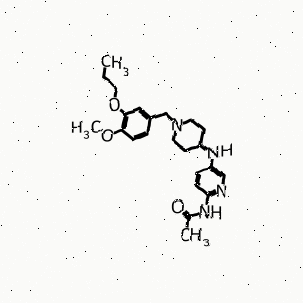 CCCOc1cc(CN2CCC(Nc3ccc(NC(C)=O)nc3)CC2)ccc1OC